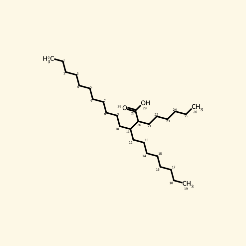 CCCCCCCCCCCC(CCCCCCCC)C(CCCCCC)C(=O)O